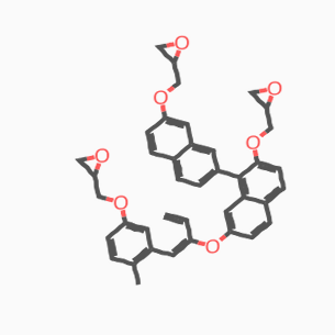 C=C/C(=C\c1cc(OCC2CO2)ccc1C)Oc1ccc2ccc(OCC3CO3)c(-c3ccc4ccc(OCC5CO5)cc4c3)c2c1